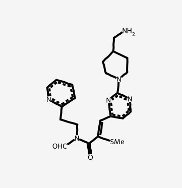 CS/C(=C\c1ccnc(N2CCC(CN)CC2)n1)C(=O)N(C=O)CCc1ccccn1